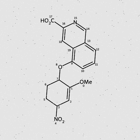 COC1=CC([N+](=O)[O-])CCC1Oc1cccc2cnc(C(=O)O)cc12